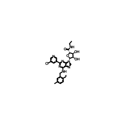 CCNC(=O)[C@H]1O[C@@H](n2cnc3c(NCc4cc(C)ccc4F)nc(-c4cncc(Cl)c4)nc32)[C@H](O)[C@@H]1O